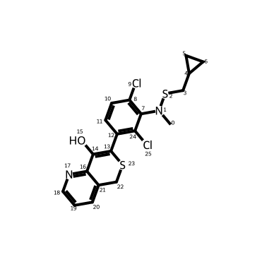 CN(SCC1CC1)c1c(Cl)ccc(C2=C(O)c3ncccc3CS2)c1Cl